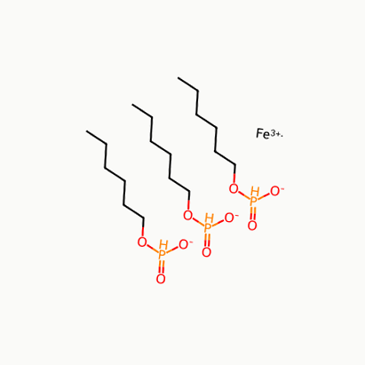 CCCCCCO[PH](=O)[O-].CCCCCCO[PH](=O)[O-].CCCCCCO[PH](=O)[O-].[Fe+3]